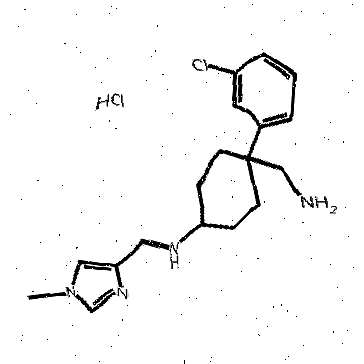 Cl.Cn1cnc(CNC2CCC(CN)(c3cccc(Cl)c3)CC2)c1